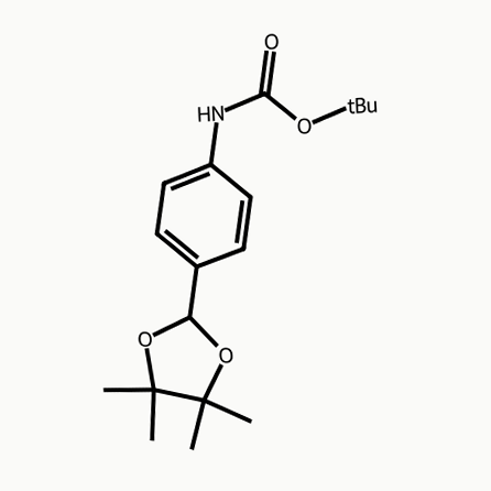 CC(C)(C)OC(=O)Nc1ccc(C2OC(C)(C)C(C)(C)O2)cc1